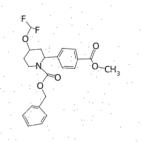 COC(=O)c1ccc(C2CC(OC(F)F)CCN2C(=O)OCc2ccccc2)cc1